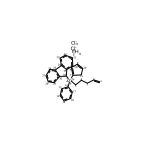 C.C=CCC[CH2][Zr+2]([C]1=CC=CC1)([c]1ccccc1)[CH]1c2ccccc2-c2ccccc21.[Cl-].[Cl-]